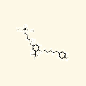 O=P(O)(O)CCCNCc1ccc(SCCCCCc2ccc(F)cc2)c(C(F)(F)F)c1